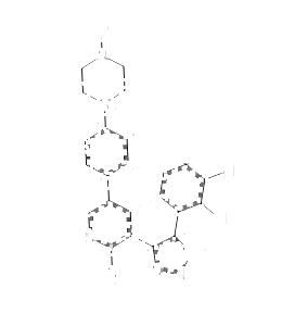 CN1CCN(c2ccc(-c3cnc(N)c(-c4nnsc4-c4cccc(Cl)c4Cl)c3)cc2)CC1